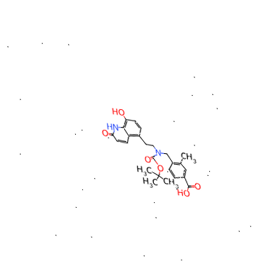 Cc1cc(C(=O)O)ccc1CN(CCc1ccc(O)c2[nH]c(=O)ccc12)C(=O)OC(C)(C)C